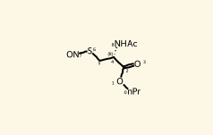 CCCOC(=O)[C@H](CSN=O)NC(C)=O